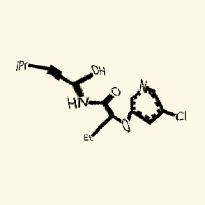 CCC(Oc1cncc(Cl)c1)C(=O)NC(O)C#CC(C)C